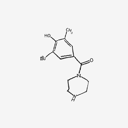 Cc1cc(C(=O)N2CCNCC2)cc(C(C)(C)C)c1O